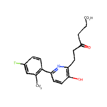 Cc1cc(F)ccc1-c1ccc(O)c(CCC(=O)CCC(=O)O)n1